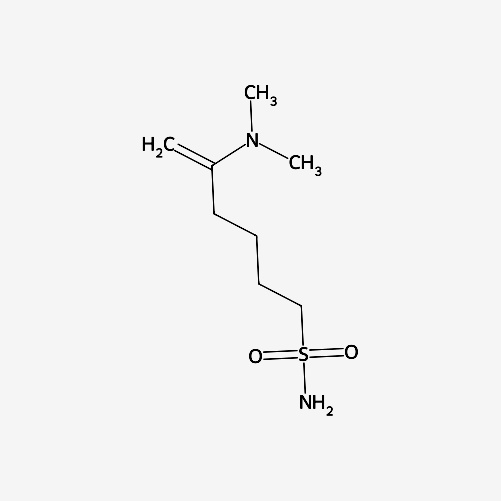 C=C(CCCCS(N)(=O)=O)N(C)C